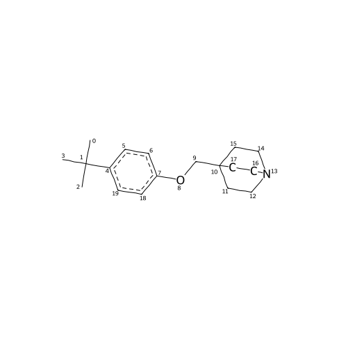 CC(C)(C)c1ccc(OCC23CCN(CC2)CC3)cc1